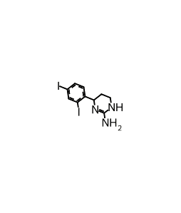 NC1=NC(c2ccc(I)cc2I)CCN1